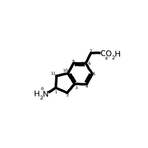 NC1Cc2ccc(CC(=O)O)cc2C1